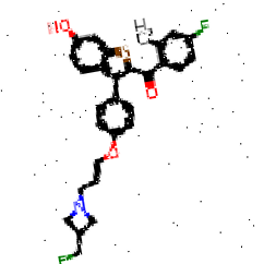 Cc1cc(F)ccc1C(=O)c1sc2cc(O)ccc2c1-c1ccc(OCCCN2CC(CF)C2)cc1